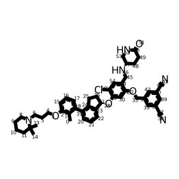 Cc1c(OCCCN2CCCCC2(C)C)cccc1-c1cccc2c1CC[C@@H]2Oc1cc(OCc2cc(C#N)cc(C#N)c2)c(CN[C@H]2CCC(=O)NC2)cc1Cl